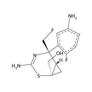 NC1=N[C@](CF)(c2cc(N)ccc2F)[C@@H]2C[C@@]2(CO)S1